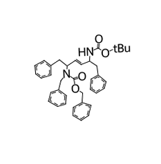 CC(C)(C)OC(=O)NC(C=CC(Cc1ccccc1)N(Cc1ccccc1)C(=O)OCc1ccccc1)Cc1ccccc1